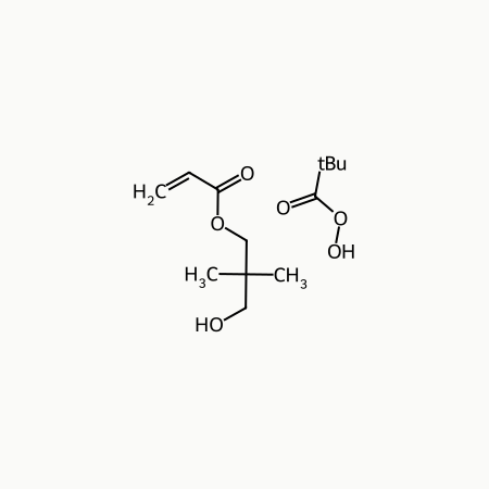 C=CC(=O)OCC(C)(C)CO.CC(C)(C)C(=O)OO